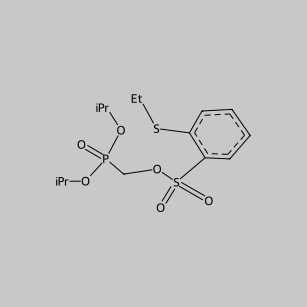 CCSc1ccccc1S(=O)(=O)OCP(=O)(OC(C)C)OC(C)C